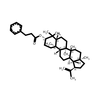 C=C(C)[C@@H]1CC[C@]2(C)CC[C@]3(C)[C@H](CC[C@@H]4[C@@]5(C)CC[C@H](OC(=O)CCc6ccccc6)C(C)(C)[C@@H]5CC[C@]43C)[C@@H]12